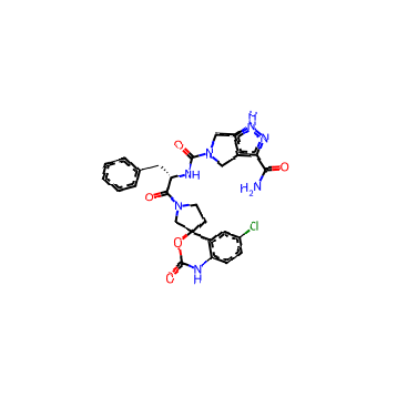 NC(=O)c1n[nH]c2c1CN(C(=O)N[C@@H](Cc1ccccc1)C(=O)N1CCC3(C1)OC(=O)Nc1ccc(Cl)cc13)C2